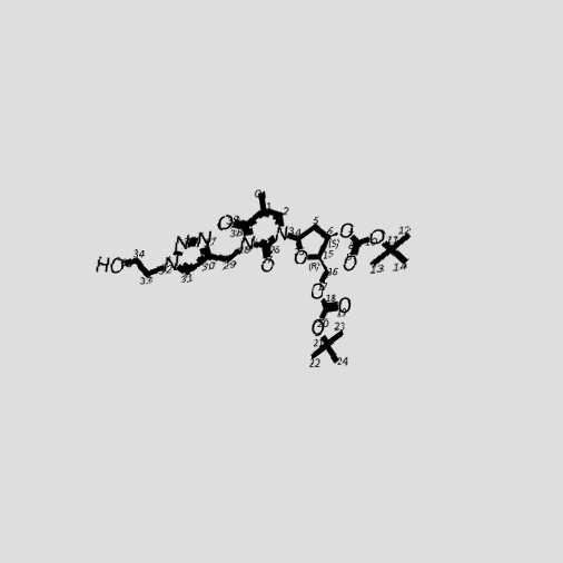 Cc1cn(C2C[C@H](OC(=O)OC(C)(C)C)[C@@H](COC(=O)OC(C)(C)C)O2)c(=O)n(Cc2cn(CCO)nn2)c1=O